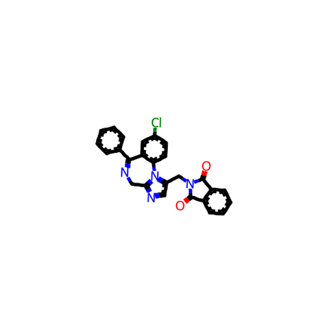 O=C1c2ccccc2C(=O)N1Cc1cnc2n1-c1ccc(Cl)cc1C(c1ccccc1)=NC2